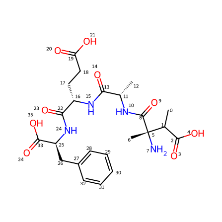 CC(C(=O)O)[C@](C)(N)C(=O)N[C@@H](C)C(=O)N[C@@H](CCC(=O)O)C(=O)N[C@@H](Cc1ccccc1)C(=O)O